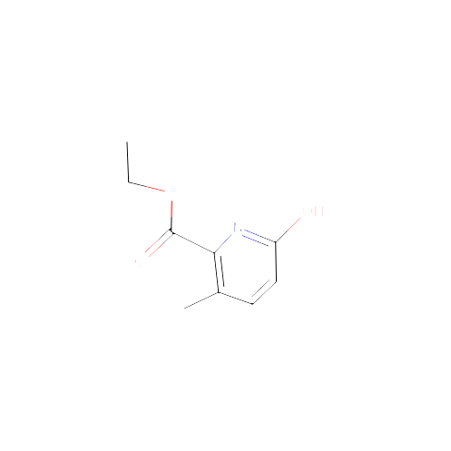 CCOC(=O)c1nc(O)ccc1C